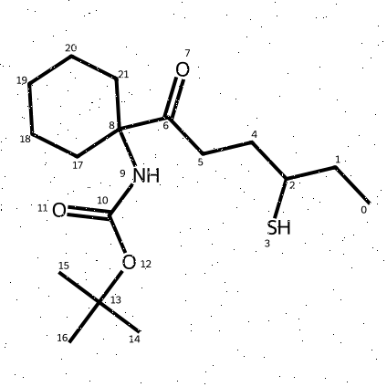 CCC(S)CCC(=O)C1(NC(=O)OC(C)(C)C)CCCCC1